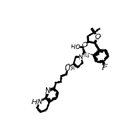 CC1(C)CCC(c2ccc(F)cc2[C@@H](C(=O)O)N2CC[C@@H](OCCCCc3ccc4c(n3)NCCC4)C2)O1